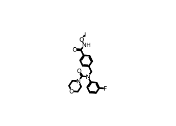 O=C(NOI)c1ccc(CN(C(=O)N2CCOCC2)c2cccc(F)c2)cc1